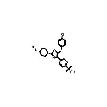 CC(C)(O)c1ccc(-c2nc([C@H]3CC[C@@H](CO)CC3)oc2Sc2ccc(Cl)cc2)cn1